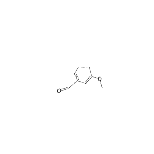 COC1=CC(C=O)=CCC1